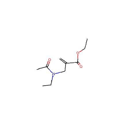 C=C(CN(CC)C(C)=O)C(=O)OCC